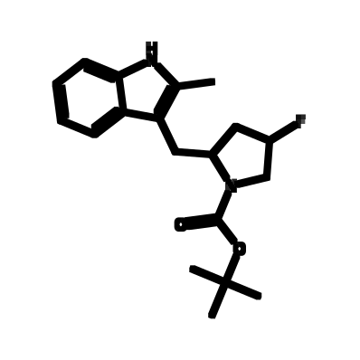 Cc1[nH]c2ccccc2c1CC1CC(F)CN1C(=O)OC(C)(C)C